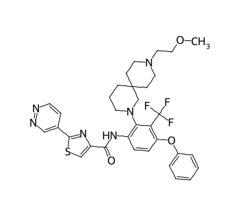 COCCN1CCC2(CCCN(c3c(NC(=O)c4csc(-c5ccnnc5)n4)ccc(Oc4ccccc4)c3C(F)(F)F)C2)CC1